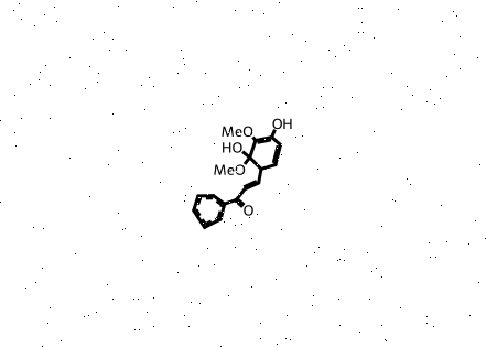 COC1=C(O)C=CC(C=CC(=O)c2ccccc2)C1(O)OC